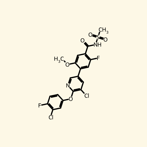 COc1cc(C(=O)NS(C)(=O)=O)c(F)cc1-c1cnc(Oc2ccc(F)c(Cl)c2)c(Cl)c1